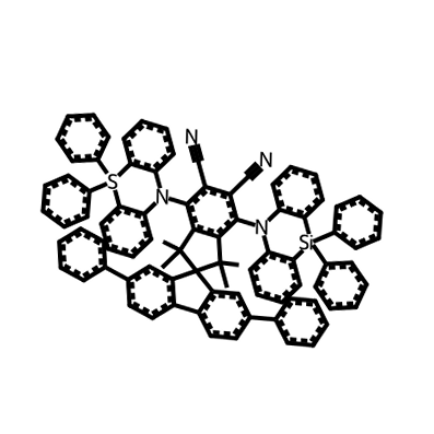 CC1(C)c2c(N3c4ccccc4[Si](c4ccccc4)(c4ccccc4)c4ccccc43)c(C#N)c(C#N)c(N3c4ccccc4S(c4ccccc4)(c4ccccc4)c4ccccc43)c2C(C)(C)C12c1cc(-c3ccccc3)ccc1-c1ccc(-c3ccccc3)cc12